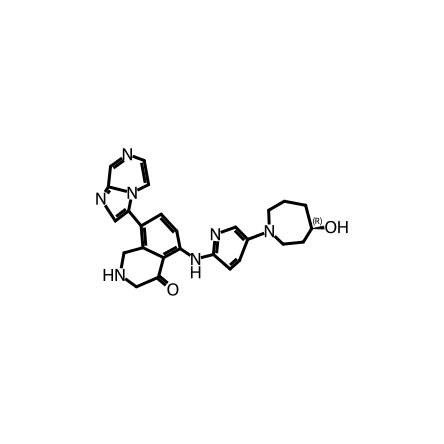 O=C1CNCc2c(-c3cnc4cnccn34)ccc(Nc3ccc(N4CCC[C@@H](O)CC4)cn3)c21